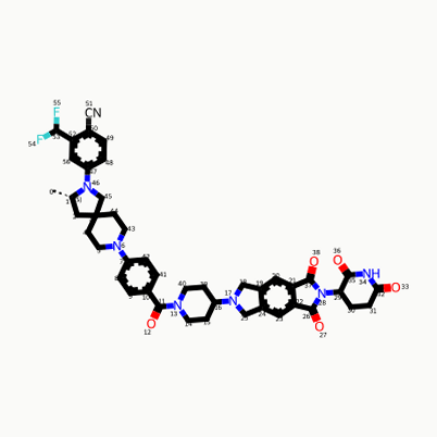 C[C@H]1CC2(CCN(c3ccc(C(=O)N4CCC(N5Cc6cc7c(cc6C5)C(=O)N(C5CCC(=O)NC5=O)C7=O)CC4)cc3)CC2)CN1c1ccc(C#N)c(C(F)F)c1